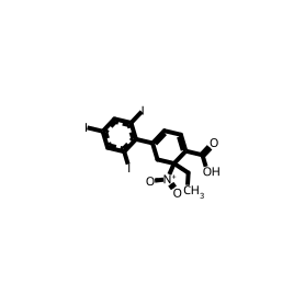 CCC1([N+](=O)[O-])CC(c2c(I)cc(I)cc2I)=CC=C1C(=O)O